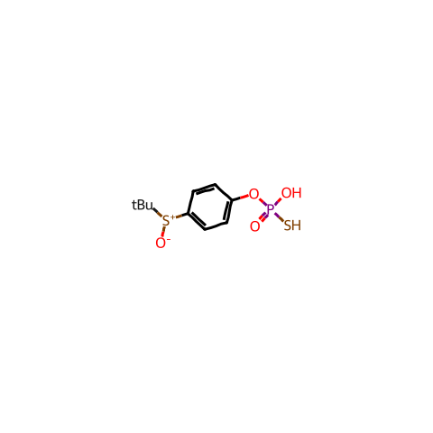 CC(C)(C)[S+]([O-])c1ccc(OP(=O)(O)S)cc1